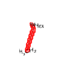 C=C(C)C(=O)OCCCCCC(=O)OCCCCCC(=O)OCCCCCC(=O)OCCCCCC(=O)OCCCCCC(=O)OCCCCCC(=O)OCCCCCC(=O)OCCCCCC(=O)OCCCCCC(=O)OCCCCCC(=O)OCCCCCCOC1CCC(C(=O)Oc2ccc(OC(=O)c3ccc(OCCCCCC)cc3)cc2)CC1